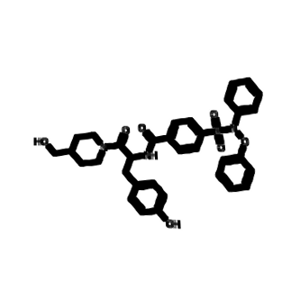 O=C(NC(Cc1ccc(O)cc1)C(=O)N1CCC(CO)CC1)c1ccc(S(=O)(=O)N(Oc2ccccc2)c2ccccc2)cc1